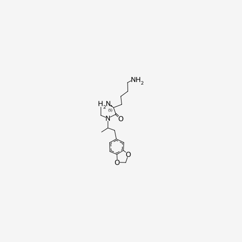 CCN(C(=O)[C@@H](N)CCCCN)C(C)Cc1ccc2c(c1)OCO2